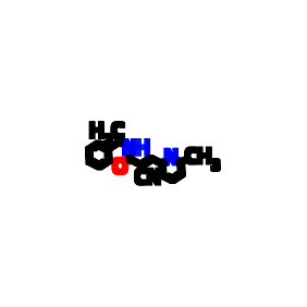 Cc1cccc(/C=C(\C#N)C(=O)N[C@@H](C)c2ccccc2)n1